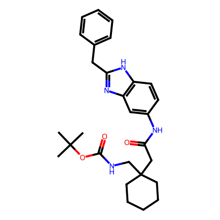 CC(C)(C)OC(=O)NCC1(CC(=O)Nc2ccc3[nH]c(Cc4ccccc4)nc3c2)CCCCC1